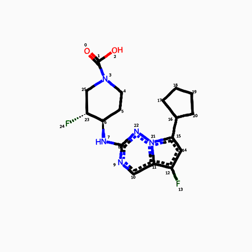 O=C(O)N1CC[C@@H](Nc2ncc3c(F)cc(C4CCCC4)n3n2)[C@H](F)C1